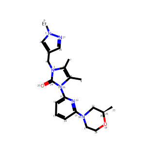 CCn1cc(Cn2c(C)c(C)n(-c3cccc(N4CCO[C@H](C)C4)n3)c2=O)cn1